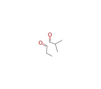 CC(C)C=O.CCC=O